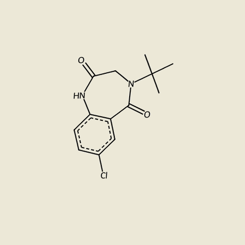 CC(C)(C)N1CC(=O)Nc2ccc(Cl)cc2C1=O